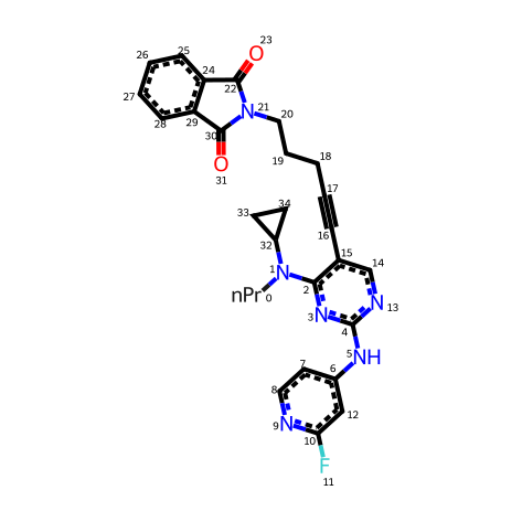 CCCN(c1nc(Nc2ccnc(F)c2)ncc1C#CCCCN1C(=O)c2ccccc2C1=O)C1CC1